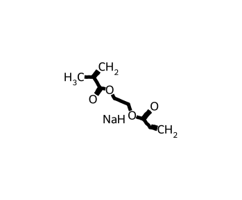 C=CC(=O)OCCOC(=O)C(=C)C.[NaH]